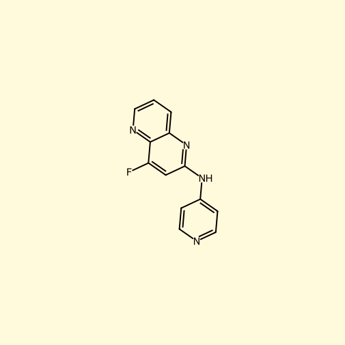 Fc1cc(Nc2ccncc2)nc2cccnc12